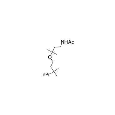 CCCC(C)(C)CCOC(C)(C)CCNC(C)=O